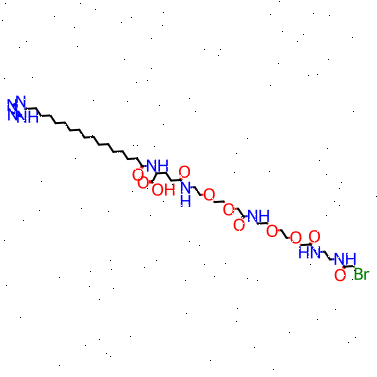 O=C(CBr)NCCNC(=O)COCCOCCNC(=O)COCCOCCNC(=O)CCC(NC(=O)CCCCCCCCCCCCCCCc1nnn[nH]1)C(=O)O